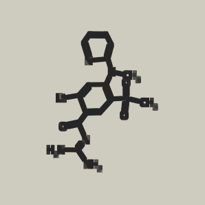 CCc1cc(N(C)c2ccccn2)c(S(C)(=O)=O)cc1C(=O)N=C(N)N